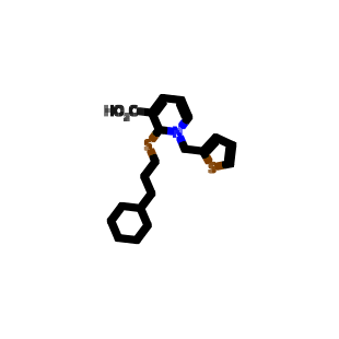 O=C(O)C1=CC=CN(Cc2cccs2)C1SCCCC1CCCCC1